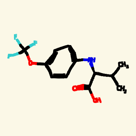 CC(C)[C@H](Nc1ccc(OC(F)(F)F)cc1)C(=O)O